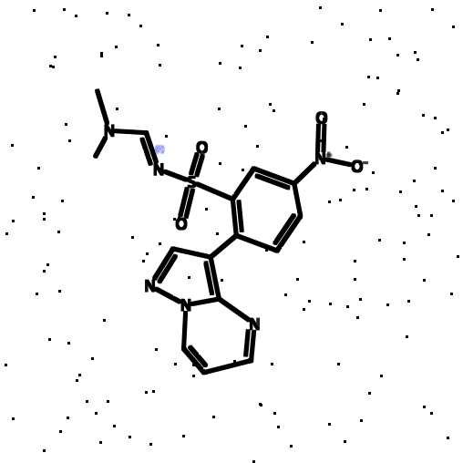 CN(C)/C=N/S(=O)(=O)c1cc([N+](=O)[O-])ccc1-c1cnn2cccnc12